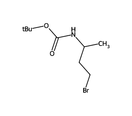 CC(CCBr)NC(=O)OC(C)(C)C